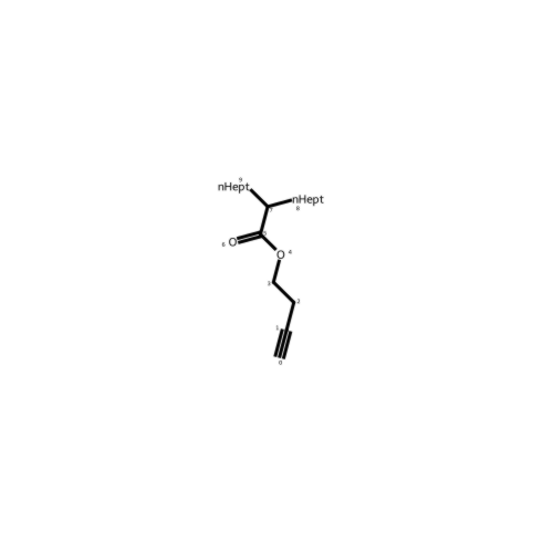 C#CCCOC(=O)C(CCCCCCC)CCCCCCC